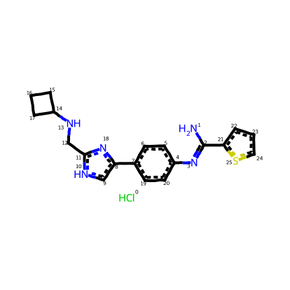 Cl.N/C(=N\c1ccc(-c2c[nH]c(CNC3CCC3)n2)cc1)c1cccs1